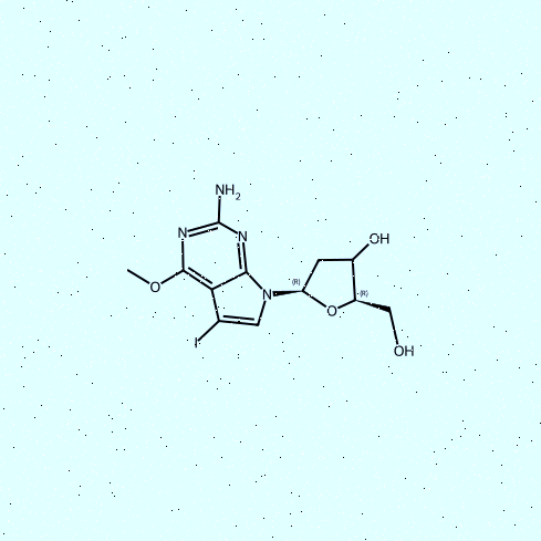 COc1nc(N)nc2c1c(I)cn2[C@H]1CC(O)[C@@H](CO)O1